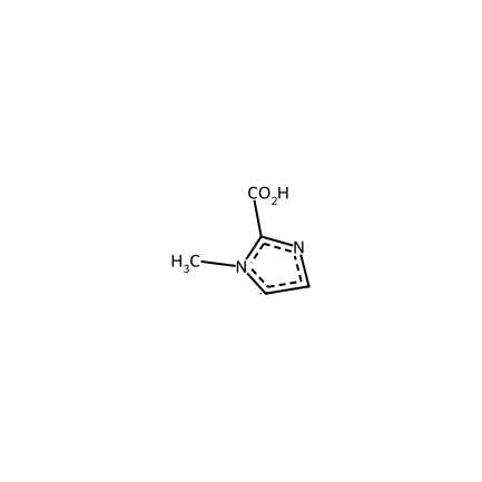 Cn1[c]cnc1C(=O)O